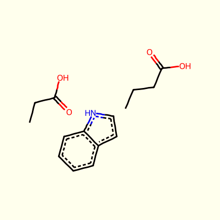 CCC(=O)O.CCCC(=O)O.c1ccc2[nH]ccc2c1